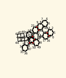 c1ccc(-c2cccc3cccc(-c4ccccc4N(c4ccccc4-c4ccc5c(c4)C4(c6ccccc6-5)C5CC6CC7CC4C675)c4cccc5sc6ccccc6c45)c23)cc1